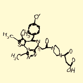 Cc1sc2c(c1C)C(c1ccc(Cl)cc1)=N[C@@H](CC(=O)N1CCN(C(=O)CC(=O)O)CC1)c1nnc(C)n1-2